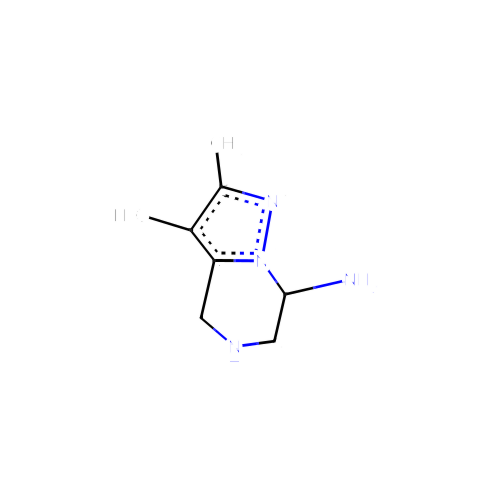 Cc1nn2c(c1C)CNCC2N